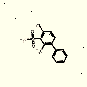 CS(=O)(=O)c1c(Cl)ccc(-c2ccccc2)c1C(F)(F)F